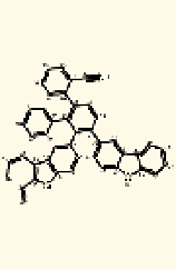 C=Cc1sc2ccc(-c3c(-c4ccc5oc6ccccc6c5c4)ccc(-c4ccccc4C#N)c3-c3ccccc3)cc2c1/C=C\C